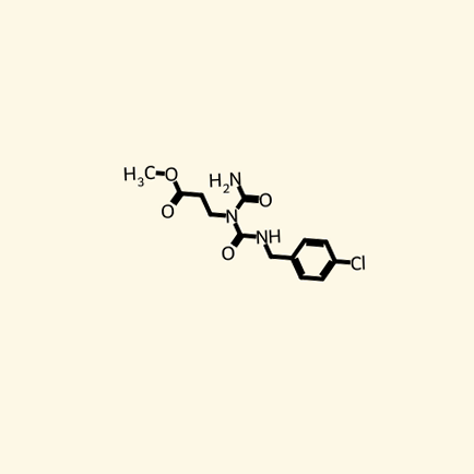 COC(=O)CCN(C(N)=O)C(=O)NCc1ccc(Cl)cc1